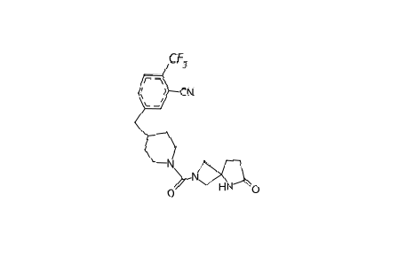 N#Cc1cc(CC2CCN(C(=O)N3CC4(CCC(=O)N4)C3)CC2)ccc1C(F)(F)F